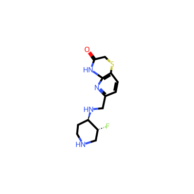 O=C1CSc2ccc(CN[C@@H]3CCNC[C@H]3F)nc2N1